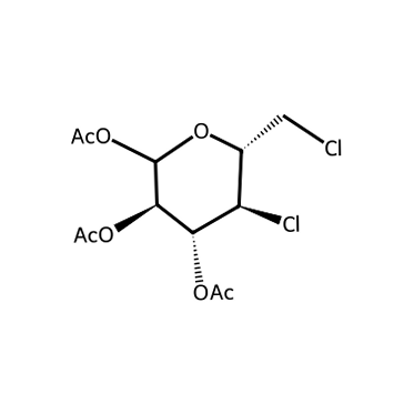 CC(=O)OC1O[C@H](CCl)[C@@H](Cl)[C@H](OC(C)=O)[C@H]1OC(C)=O